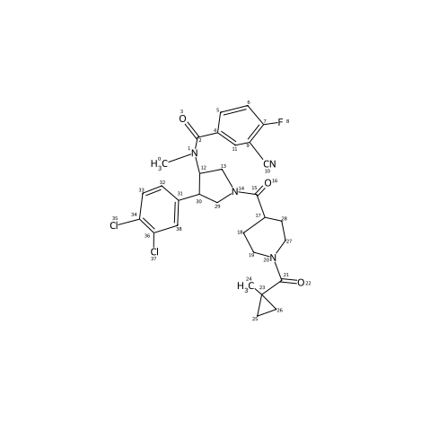 CN(C(=O)c1ccc(F)c(C#N)c1)C1CN(C(=O)C2CCN(C(=O)C3(C)CC3)CC2)CC1c1ccc(Cl)c(Cl)c1